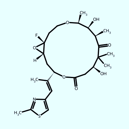 CC(=Cc1csc(C)n1)[C@@H]1C[C@@H]2O[C@]2(F)CCO[C@@H](C)[C@@H](O)[C@@H](C)C(=O)C(C)(C)[C@@H](O)CC(=O)O1